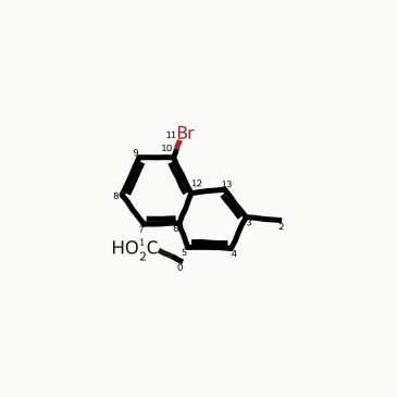 CC(=O)O.Cc1ccc2cccc(Br)c2c1